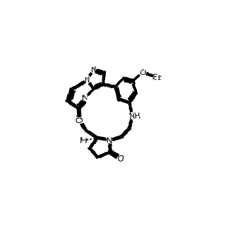 CCOc1cc2cc(c1)-c1cnn3ccc(nc13)OC[C@@H]1CCC(=O)N1CCN2